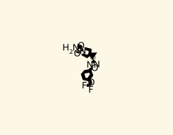 NS(=O)(=O)N1CCC2(CC1)C[C@H]2c1noc(-c2cccc(OC(F)F)c2)n1